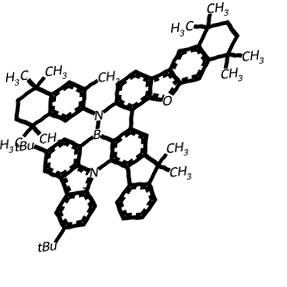 Cc1cc2c(cc1N1B3c4c(cc5c(c4-n4c6ccc(C(C)(C)C)cc6c6cc(C(C)(C)C)cc3c64)-c3ccccc3C5(C)C)-c3c1ccc1c3oc3cc4c(cc31)C(C)(C)CCC4(C)C)C(C)(C)CCC2(C)C